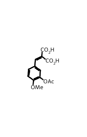 COc1ccc(C=C(C(=O)O)C(=O)O)cc1OC(C)=O